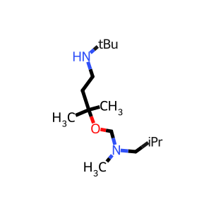 CC(C)CN(C)COC(C)(C)CCNC(C)(C)C